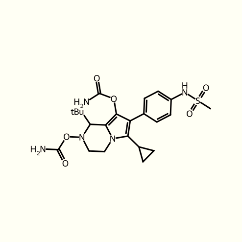 CC(C)(C)C1c2c(OC(N)=O)c(-c3ccc(NS(C)(=O)=O)cc3)c(C3CC3)n2CCN1OC(N)=O